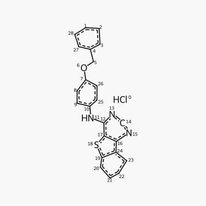 Cl.c1ccc(COc2ccc(Nc3ncnc4c3sc3ccccc34)cc2)cc1